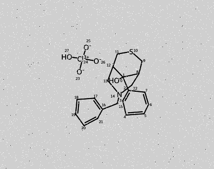 OC1(c2ccccc2)C2CSCC1CN(Cc1ccccc1)C2.[O-][Cl+3]([O-])([O-])O